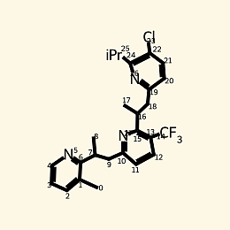 Cc1cccnc1C(C)Cc1ccc(C(F)(F)F)c(C(C)Cc2ccc(Cl)c(C(C)C)n2)n1